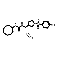 O=C(NCC1CCN(S(=O)(=O)c2ccc(Cl)cc2)C1)N[C]1CCCCCCC1.[CH2].[CH2]